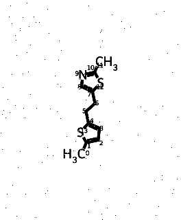 Cc1ccc(CCc2cnc(C)s2)s1